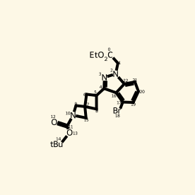 CCOC(=O)Cn1nc(C2CC3(C2)CN(C(=O)OC(C)(C)C)C3)c2c(Br)cccc21